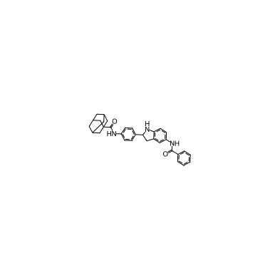 O=C(Nc1ccc2c(c1)CC(c1ccc(NC(=O)C34CC5CC(CC(C5)C3)C4)cc1)N2)c1ccccc1